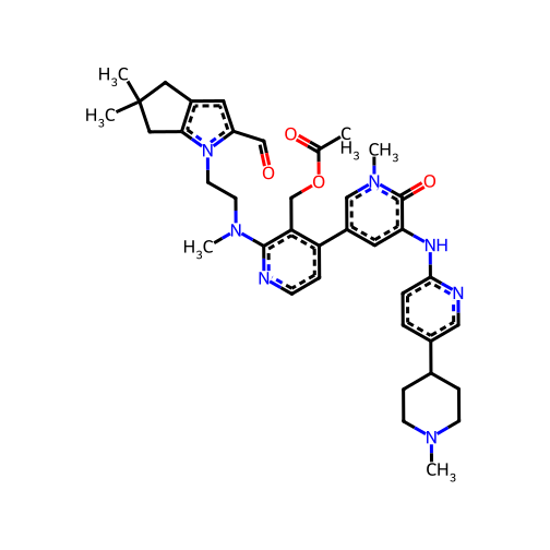 CC(=O)OCc1c(-c2cc(Nc3ccc(C4CCN(C)CC4)cn3)c(=O)n(C)c2)ccnc1N(C)CCn1c(C=O)cc2c1CC(C)(C)C2